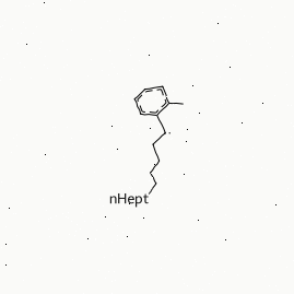 CCCCCCCCCCC[CH]c1ccccc1C